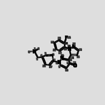 CN(C)Cc1ccc(-n2ccc(=O)c(-c3ccnn3-c3ccccc3F)n2)cc1